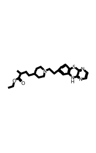 CCOC(=O)C(C)CCC1CCN(CCc2ccc3c(c2)Nc2nccnc2S3)CC1